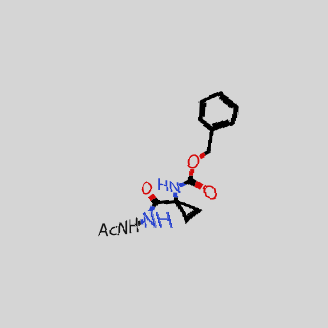 CC(=O)NNC(=O)C1(NC(=O)OCc2ccccc2)CC1